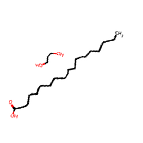 CCCCCCCCCCCCCCCCC(=O)O.OCCO